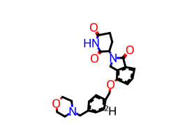 [2H]c1cc(CN2CCOCC2)ccc1COc1cccc2c1CN(C1CCC(=O)NC1=O)C2=O